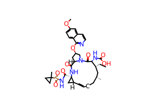 CC[C@@H]1C[C@H](C)CCC=C[C@@H]2C[C@@]2(C(=O)NS(=O)(=O)C2(C)CC2)NC(=O)[C@@H]2C[C@@H](Oc3nccc4cc(OC)ccc34)CN2C(=O)[C@H]1NC(=O)O